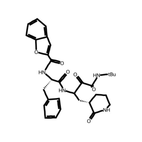 CC(C)(C)NC(=O)C(=O)C(C[C@@H]1CCCNC1=O)NC(=O)[C@H](Cc1ccccc1)NC(=O)c1cc2ccccc2o1